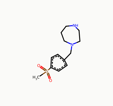 CS(=O)(=O)c1ccc(CN2CCCNCC2)cc1